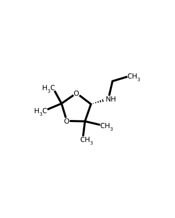 CCN[C@H]1OC(C)(C)OC1(C)C